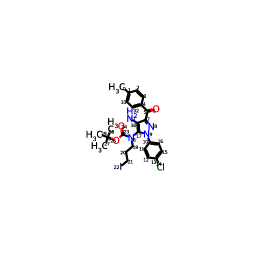 Cc1ccc(C(=O)c2nn(-c3ccc(Cl)cc3)c(N(CCCI)C(=O)OC(C)(C)C)c2N)cc1